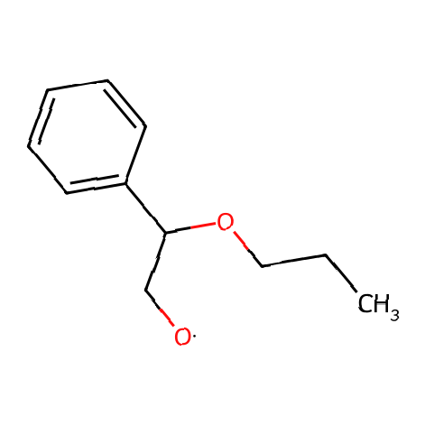 CCCOC(C[O])c1ccccc1